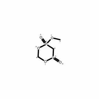 COP1(=O)CS(=O)OCO1